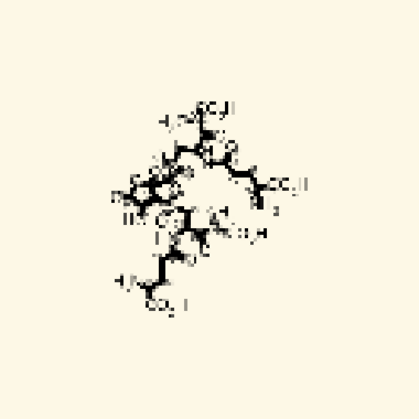 CN(C(=O)O)C(=O)C(CS(=O)(=O)CC1(C(=O)O)OC(=O)C(O)=C1S(=O)(=O)CC(NC(=O)CCC(N)C(=O)O)C(=O)N(C)C(=O)O)NC(=O)CCC(N)C(=O)O